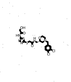 O=C(CSc1nnc(NC(=O)CO)s1)NC[C@H]1CN(Cc2ccc(Cl)c(Cl)c2)CCO1